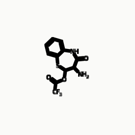 NC1C(=O)Nc2ccccc2SC1OC(=O)C(F)(F)F